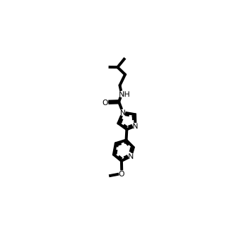 COc1ccc(-c2cn(C(=O)NCCC(C)C)cn2)cn1